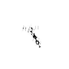 CC(C)(C)OC(=O)N1Cc2cn(S(=O)(=O)c3ccc(C4CC4)nc3)nc2C1